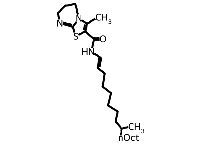 CCCCCCCCC(C)CCCCCCC=CNC(=O)C1=C(C)N2CCCN=C2S1